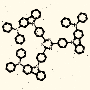 c1ccc(N(c2ccccc2)c2ccc3c4ccccc4n(-c4ccc(-c5nc(-c6ccc(-n7c8ccccc8c8ccc(N(c9ccccc9)c9ccccc9)cc87)cc6)nc(-c6ccc(-n7c8ccccc8c8ccc(N(c9ccccc9)c9ccccc9)cc87)cc6)n5)cc4)c3c2)cc1